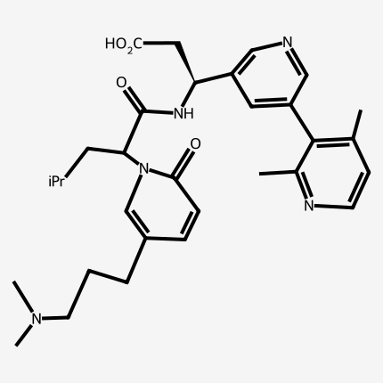 Cc1ccnc(C)c1-c1cncc([C@H](CC(=O)O)NC(=O)C(CC(C)C)n2cc(CCCN(C)C)ccc2=O)c1